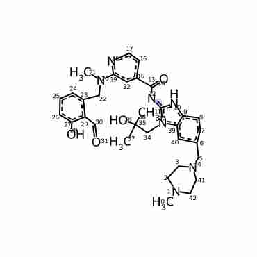 CN1CCN(Cc2ccc3[nH]/c(=N\C(=O)c4ccnc(N(C)Cc5cccc(O)c5C=O)c4)n(CC(C)(C)O)c3c2)CC1